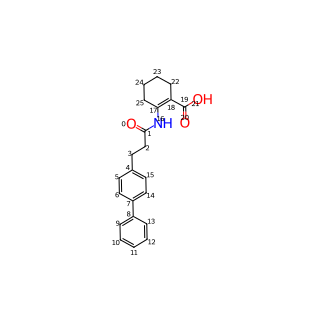 O=C(CCc1ccc(-c2ccccc2)cc1)NC1=C(C(=O)O)CCCC1